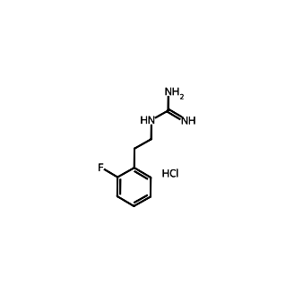 Cl.N=C(N)NCCc1ccccc1F